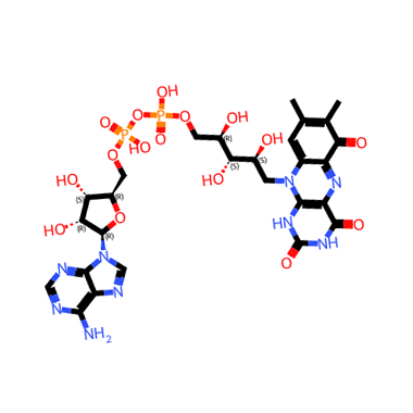 Cc1cc2n(C[C@H](O)[C@H](O)[C@H](O)COP(=O)(O)OP(=O)(O)OC[C@H]3O[C@@H](n4cnc5c(N)ncnc54)[C@H](O)[C@@H]3O)c3[nH]c(=O)[nH]c(=O)c3nc-2c(=O)c1C